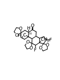 CC12CCC3(C[C@@H]1C(=O)CC1C2C2(OCCO2)C(F)C2(C)C1C[C@@H](F)C21OCCO1)OCCO3